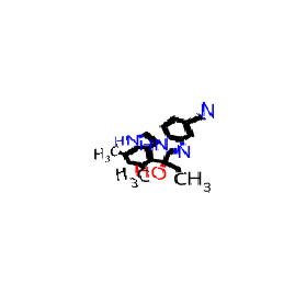 CCC(O)(c1nc2cc(C#N)ccc2[nH]1)c1c(C)cc(C)c2[nH]ccc12